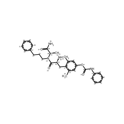 Cc1cc(OC(=O)Nc2ccccc2)cc(C)c1C[C@H](N)C(=O)N(CCCc1ccccc1)[C@H](C)C(N)=O